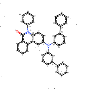 O=c1c2ccccc2c2cc(N(c3cccc(-c4ccccc4)c3)c3cccc(-c4ccccc4)c3)ccc2n1-c1ccccc1